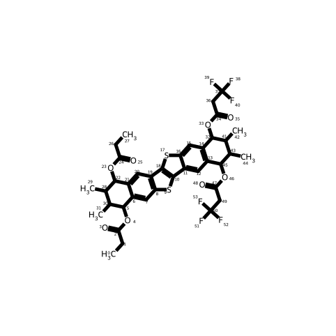 CCC(=O)OC1c2cc3sc4c5cc6c(cc5sc4c3cc2C(OC(=O)CC)C(C)C1C)C(OC(=O)CC(F)(F)F)C(C)C(C)C6OC(=O)CC(F)(F)F